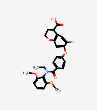 CCN(C(=O)c1ccc(Oc2cc3c(cc2Cl)C(C(=O)O)CCO3)cc1)c1c(OC)cccc1OC